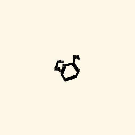 CCCCN.Cc1ccccn1